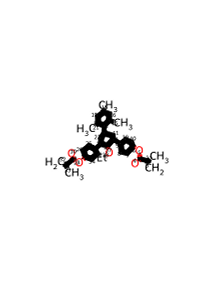 C=C(C)C(=O)Oc1ccc(-c2cc(-c3c(C)cc(C)cc3C)cc(-c3ccc(OC(=O)C(=C)C)cc3)c2OCC)cc1